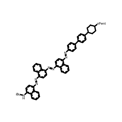 CCCCCC1CCC(c2ccc(-c3ccc(/N=N/c4ccc(/N=N/c5ccc(/N=N/c6ccc(NC(C)CC)c7ccccc67)c6ccccc56)c5ccccc45)cc3)cc2)CC1